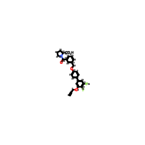 C#CCOc1cc(-c2ccc(OCc3cccc(C(=O)N4CCC[C@H]4C(=O)O)c3)cc2)cc(F)c1F